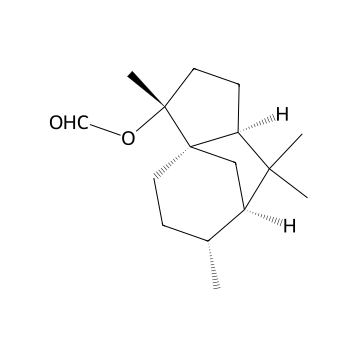 C[C@@H]1CC[C@@]23C[C@H]1C(C)(C)[C@@H]2CC[C@@]3(C)OC=O